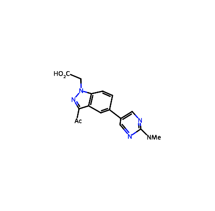 CNc1ncc(-c2ccc3c(c2)c(C(C)=O)nn3CC(=O)O)cn1